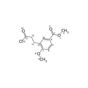 COC(=O)c1ccc(OC)c(CCC(=O)Cl)c1